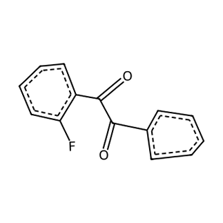 O=C(C(=O)c1ccccc1F)c1ccccc1